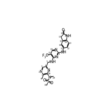 Cc1ncc(CNc2nc(Nc3ccc4c(c3)CC(=O)N4)ncc2C(F)(F)F)nc1N(C)S(C)(=O)=O